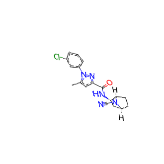 Cc1cc(C(=O)N[C@@H]2C[C@@H]3CC[C@H]2N3C#N)nn1-c1cccc(Cl)c1